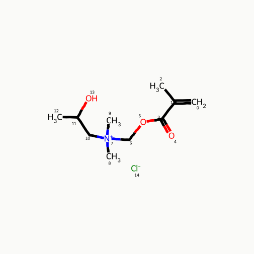 C=C(C)C(=O)OC[N+](C)(C)CC(C)O.[Cl-]